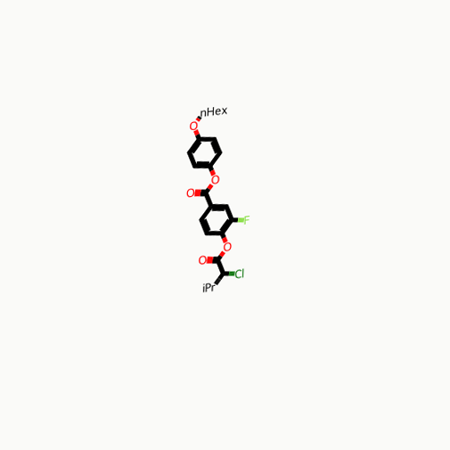 CCCCCCOc1ccc(OC(=O)c2ccc(OC(=O)C(Cl)C(C)C)c(F)c2)cc1